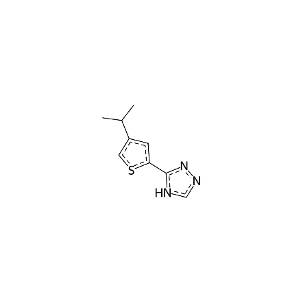 CC(C)c1csc(-c2nnc[nH]2)c1